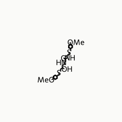 COc1ccc(CSCCNC(=O)CNCCC(O)CCSCc2ccc(OC)cc2)cc1